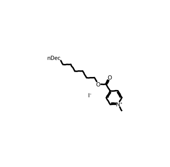 CCCCCCCCCCCCCCCCOC(=O)c1cc[n+](C)cc1.[I-]